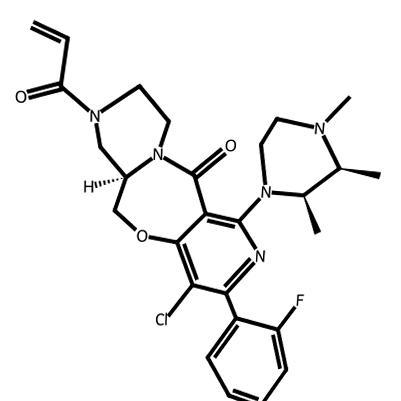 C=CC(=O)N1CCN2C(=O)c3c(N4CCN(C)[C@@H](C)[C@H]4C)nc(-c4ccccc4F)c(Cl)c3OC[C@H]2C1